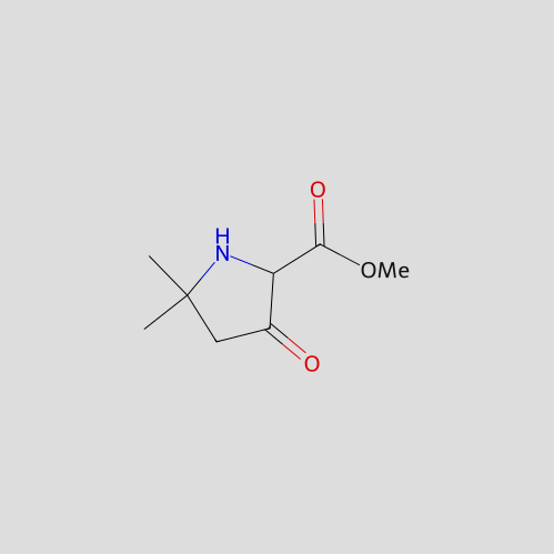 COC(=O)C1NC(C)(C)CC1=O